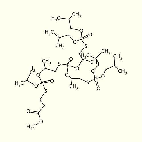 COC(=O)CCSP(=O)(OC(C)C)OC(C)CSP(=O)(OC(C)CSP(=O)(OCC(C)C)OCC(C)C)OC(C)CSP(=O)(OCC(C)C)OCC(C)C